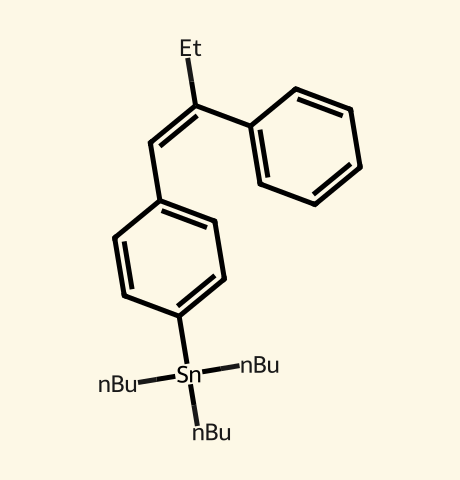 CCC[CH2][Sn]([CH2]CCC)([CH2]CCC)[c]1ccc(C=C(CC)c2ccccc2)cc1